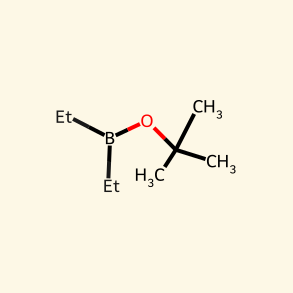 CCB(CC)OC(C)(C)C